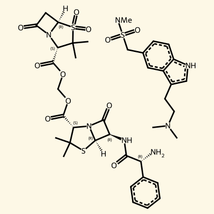 CC1(C)S[C@@H]2[C@H](NC(=O)[C@H](N)c3ccccc3)C(=O)N2[C@H]1C(=O)OCOC(=O)[C@@H]1N2C(=O)C[C@H]2S(=O)(=O)C1(C)C.CNS(=O)(=O)Cc1ccc2[nH]cc(CCN(C)C)c2c1